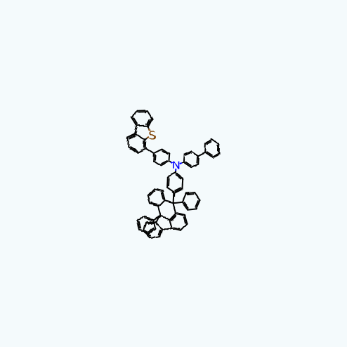 c1ccc(-c2ccc(N(c3ccc(-c4cccc5c4sc4ccccc45)cc3)c3ccc(C4(c5ccccc5)c5ccccc5C5(c6ccccc6)c6ccccc6-c6cccc4c65)cc3)cc2)cc1